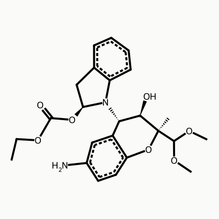 CCOC(=O)O[C@H]1Cc2ccccc2N1[C@H]1c2cc(N)ccc2O[C@](C)(C(OC)OC)[C@@H]1O